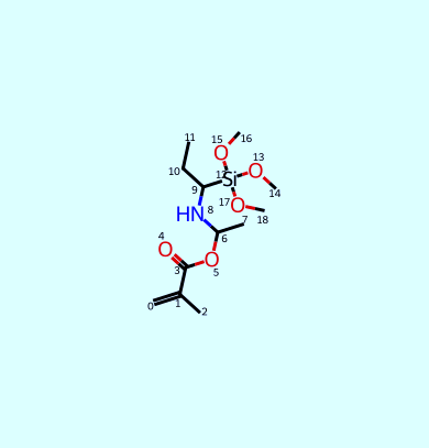 C=C(C)C(=O)OC(C)NC(CC)[Si](OC)(OC)OC